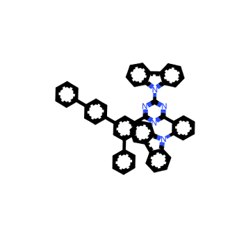 c1ccc(-c2ccc(-c3cc(-c4ccccc4)cc(-c4nc(-c5ccccc5-n5c6ccccc6c6ccccc65)nc(-n5c6ccccc6c6ccccc65)n4)c3)cc2)cc1